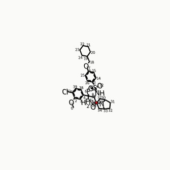 COc1cc(C(F)(F)[C@@H](NS(=O)(=O)c2ccc(OCC3CCCCC3)cc2)C(=O)N2C3CCC2CC(N)C3)ccc1Cl